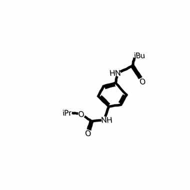 CCC(C)C(=O)Nc1ccc(NC(=O)OC(C)C)cc1